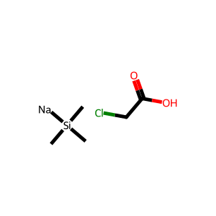 C[Si](C)(C)[Na].O=C(O)CCl